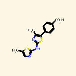 Cc1cnc(Nc2nc(C)c(-c3ccc(C(=O)O)cc3)s2)s1